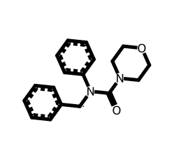 O=C(N1CCOCC1)N([CH]c1ccccc1)c1ccccc1